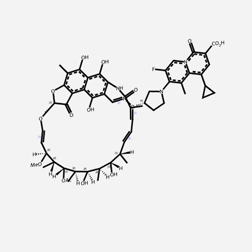 CO[C@H]1/C=C/O[C@@]2(C)Oc3c(C)c(O)c4c(O)c(c(/C=N/O[C@H]5CCN(c6c(F)cn7c(=O)c(C(=O)O)cc(C8CC8)c7c6C)C5)c(O)c4c3C2=O)NC(=O)/C(C)=C\C=C\[C@H](C)[C@H](O)[C@@H](C)[C@@H](O)[C@@H](C)[C@H](OC(C)=O)[C@@H]1C